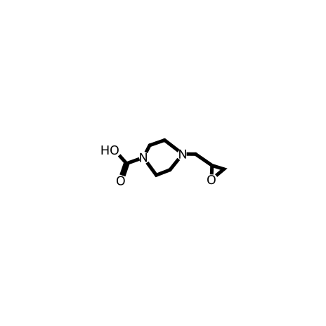 O=C(O)N1CCN(CC2CO2)CC1